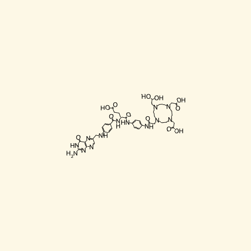 Nc1nc2ncc(CNc3ccc(C(=O)NC(CCC(=O)O)C(=O)Nc4ccc(NC(=O)CN5CCN(CC(=O)O)CCN(CC(=O)O)CCN(CC(O)O)CC5)cc4)cc3)nc2c(=O)[nH]1